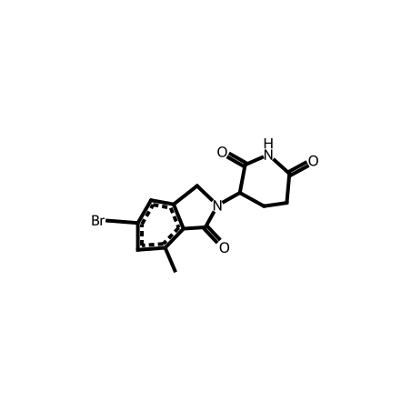 Cc1cc(Br)cc2c1C(=O)N(C1CCC(=O)NC1=O)C2